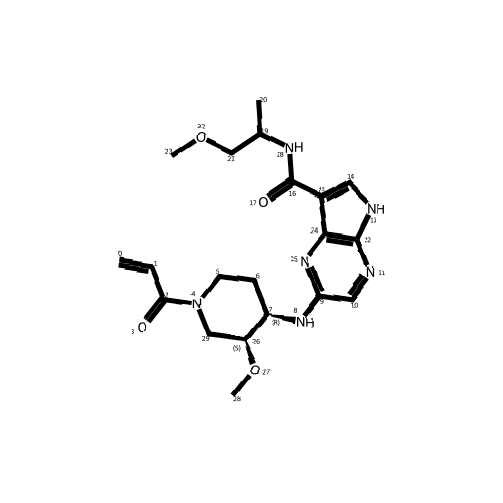 C=CC(=O)N1CC[C@@H](Nc2cnc3[nH]cc(C(=O)NC(C)COC)c3n2)[C@@H](OC)C1